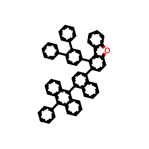 c1ccc(-c2ccc(-c3c(-c4ccc(-c5c6ccccc6c(-c6ccccc6)c6ccccc56)c5ccccc45)ccc4oc5ccccc5c34)cc2-c2ccccc2)cc1